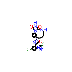 O=C1CN2c3cccc(c3)[C@@H](n3cnc(-c4cc(Cl)ccc4-n4cc(Cl)nn4)cc3=O)CCCCCNC(=O)C2CN1